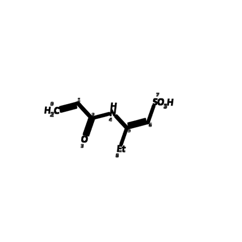 C=CC(=O)NC(=CS(=O)(=O)O)CC